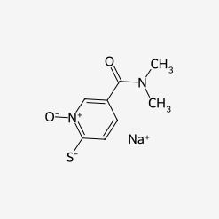 CN(C)C(=O)c1ccc([S-])[n+]([O-])c1.[Na+]